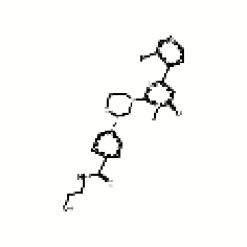 Cn1c(N2CCO[C@@H](c3ccc(C(=O)NCCO)cc3)C2)nc(-c2ccncc2F)cc1=O